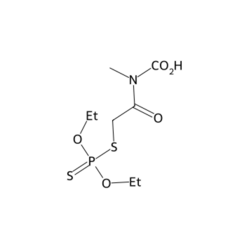 CCOP(=S)(OCC)SCC(=O)N(C)C(=O)O